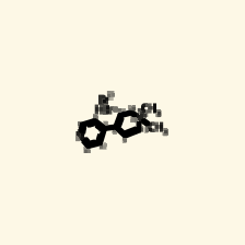 Br.C[N+]1(C)C=CC(c2ccncc2)=CC1.[Br-]